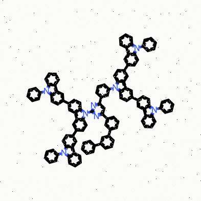 c1ccc(-c2cccc(-c3cccc(-c4cc(-c5cccc(-n6c7ccc(-c8ccc9c(c8)c8ccccc8n9-c8ccccc8)cc7c7cc(-c8ccc9c(c8)c8ccccc8n9-c8ccccc8)ccc76)c5)nc(-n5c6ccc(-c7ccc8c(c7)c7ccccc7n8-c7ccccc7)cc6c6cc(-c7ccc8c(c7)c7ccccc7n8-c7ccccc7)ccc65)n4)c3)c2)cc1